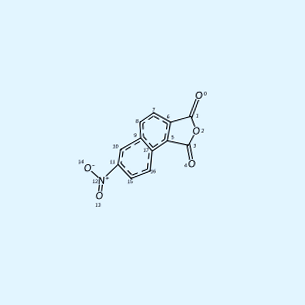 O=C1OC(=O)c2c1ccc1cc([N+](=O)[O-])ccc21